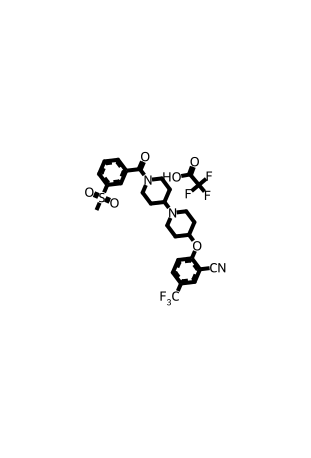 CS(=O)(=O)c1cccc(C(=O)N2CCC(N3CCC(Oc4ccc(C(F)(F)F)cc4C#N)CC3)CC2)c1.O=C(O)C(F)(F)F